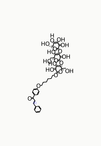 O=C(/C=C/c1ccccc1)c1ccc(OCCCCCCO[C@@H]2O[C@H](CO)[C@@H](O[C@H]3O[C@@H](CO)[C@@H](O)[C@@H](O[C@H]4O[C@H](CO)[C@H](O)[C@H](O)[C@H]4O)[C@@H]3O)[C@H](O)[C@H]2O)cc1